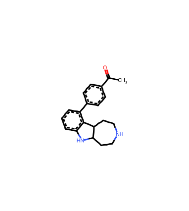 CC(=O)c1ccc(-c2cccc3c2C2CCNCCC2N3)cc1